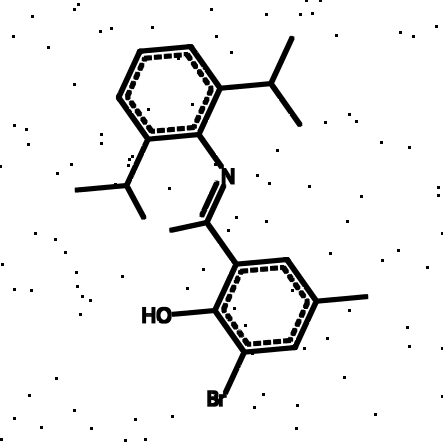 CC(=Nc1c(C(C)C)cccc1C(C)C)c1cc(C)cc(Br)c1O